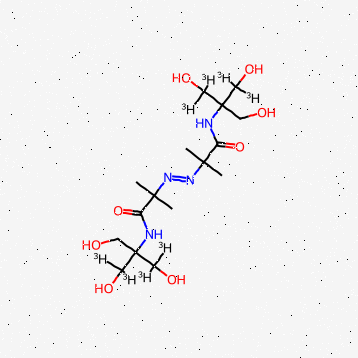 [3H]C([3H])(O)C(CO)(NC(=O)C(C)(C)N=NC(C)(C)C(=O)NC(CO)(C([3H])([3H])O)C([3H])([3H])O)C([3H])([3H])O